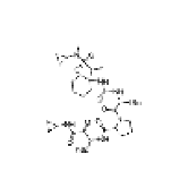 CCCC[C@H](NC(=O)[C@@H]1CCCN1C(=O)[C@@H](NC(=O)NC1([C@H](C)S(=O)(=O)N(C)C2CC2)CCCCC1)C(C)(C)C)C(=O)C(=O)NC1CC1